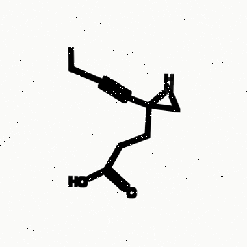 CCC#CC1(CCC(=O)O)CN1